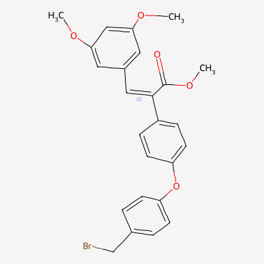 COC(=O)/C(=C\c1cc(OC)cc(OC)c1)c1ccc(Oc2ccc(CBr)cc2)cc1